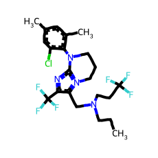 CCCN(CCC(F)(F)F)Cc1c(C(F)(F)F)nc2n1CCCN2c1c(C)cc(C)cc1Cl